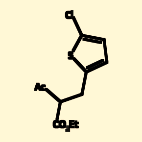 CCOC(=O)C(Cc1ccc(Cl)s1)C(C)=O